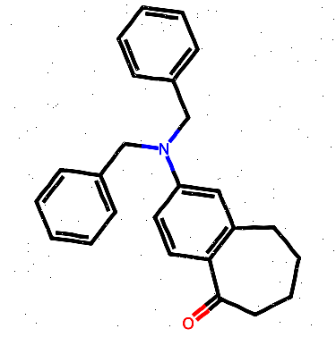 O=C1CCCCc2cc(N(Cc3ccccc3)Cc3ccccc3)ccc21